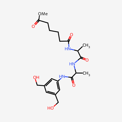 COC(=O)CCCCC(=O)NC(C)C(=O)NC(C)C(=O)Nc1cc(CO)cc(CO)c1